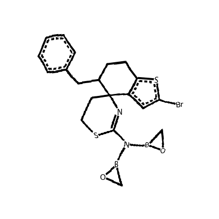 Brc1cc2c(s1)CCC(Cc1ccccc1)C21CCSC(N(B2CO2)B2CO2)=N1